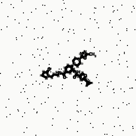 Cc1nnc(N2CCN(c3ccc(C(=O)NCCCN4CCCC4=O)cc3NC(=O)c3coc(C4CC4)n3)CC2)o1